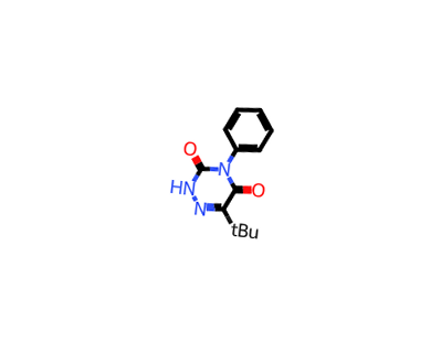 CC(C)(C)c1n[nH]c(=O)n(-c2ccccc2)c1=O